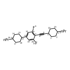 CCCC1CCC(C#Cc2c(F)cc(C3CCC(CCC)CC3)cc2F)CC1